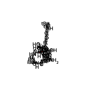 CC[C@H](C)[C@@H]1NC(=O)CNC(=O)C2Cc3c([nH]c4cc(OCCOCCOCCOCCNC(=O)OC(C)(C)C)ccc34)[S@+]([O-])CC(NC(=O)CNC1=O)C(=O)N[C@@H](CC(N)=O)C(=O)N1CC(O)C[C@H]1C(=O)N[C@@H]([C@@H](C)[C@@H](O)CO)C(=O)N2